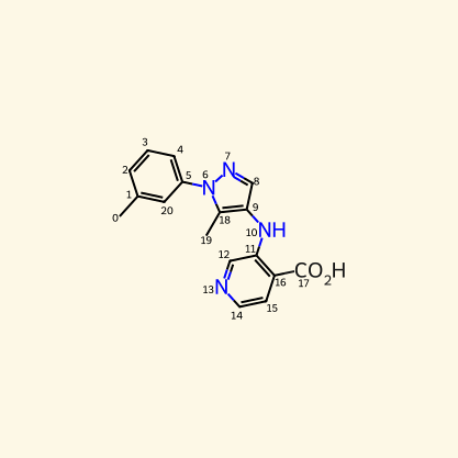 Cc1cccc(-n2ncc(Nc3cnccc3C(=O)O)c2C)c1